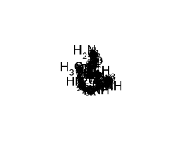 Cc1noc(Cc2nc(NC3CCN(Cc4ccc(NC(=O)CCCN(C)C)cc4)CC3)nc(-c3c[nH]c4ccccc34)c2Cl)c1-c1nc(NC2CCN(C(=O)c3ccc(N)cc3)CC2)ncc1Cl